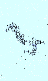 C=CC(/C=C(\C=C(/C)CCc1cc(NC(=O)c2ccc(N3CC(C)NC(C)C3)cc2)[nH]n1)OC)OC